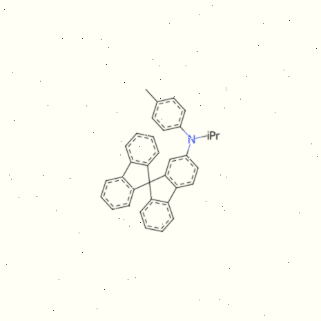 Cc1ccc(N(c2ccc3c(c2)C2(c4ccccc4-c4ccccc42)c2ccccc2-3)C(C)C)cc1